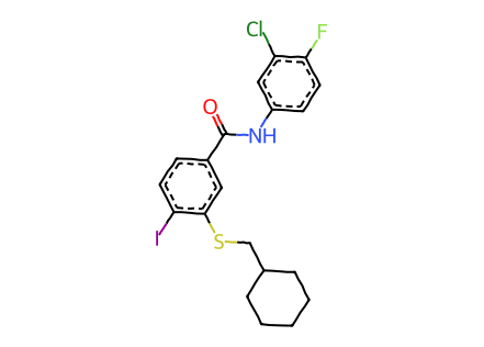 O=C(Nc1ccc(F)c(Cl)c1)c1ccc(I)c(SCC2CCCCC2)c1